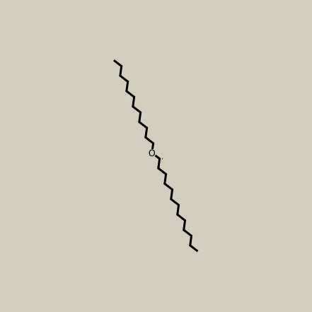 CCCCCCCCCCCC[CH]OCCCCCCCCCCCC